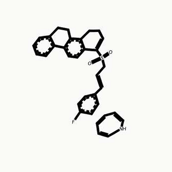 C1=CC=CNC=C1.O=S(=O)(CC=Cc1ccc(F)cc1)C1=CCCc2c1ccc1c2CCc2ccccc2-1